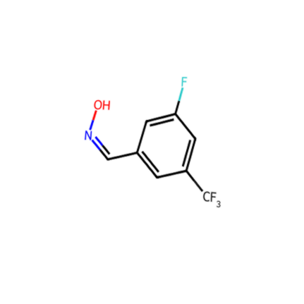 O/N=C\c1cc(F)cc(C(F)(F)F)c1